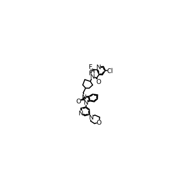 O=C(NC1CCC(Cn2c(=O)n(-c3cncc(N4CCOCC4)c3)c3ccccc32)CC1)c1cc(Cl)cnc1C(F)F